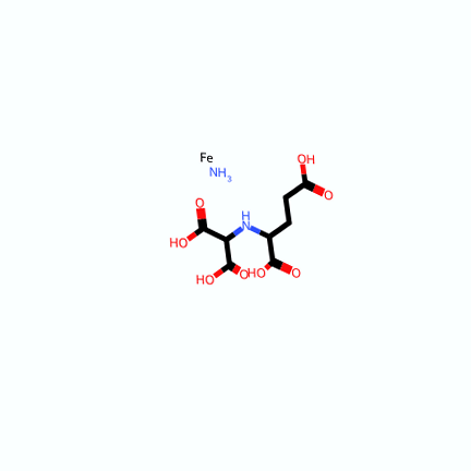 N.O=C(O)CCC(NC(C(=O)O)C(=O)O)C(=O)O.[Fe]